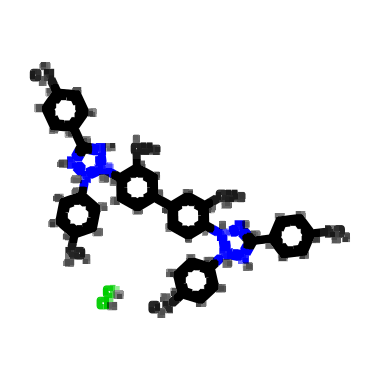 COc1cc(-c2ccc(-[n+]3nc(-c4ccc([N+](=O)[O-])cc4)nn3-c3ccc([N+](=O)[O-])cc3)c(OC)c2)ccc1-[n+]1nc(-c2ccc([N+](=O)[O-])cc2)nn1-c1ccc([N+](=O)[O-])cc1.[Cl-].[Cl-]